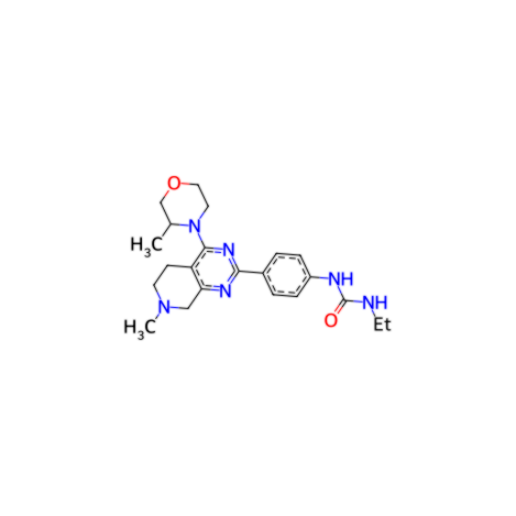 CCNC(=O)Nc1ccc(-c2nc3c(c(N4CCOCC4C)n2)CCN(C)C3)cc1